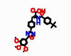 COc1cc(-c2nc(-c3ccc(C[C@H](NC(=O)c4ccc(C(C)(C)C)cc4)C(=O)O)cc3)no2)cc(OC)c1OC